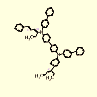 C=C/C=C(\C=C)c1ccc(N(c2ccc(-c3ccccc3)cc2)c2ccc(-c3ccc(N(/C(C=C)=C/C=C/c4ccccc4)c4ccc(-c5ccccc5)cc4)cc3)cc2)cc1